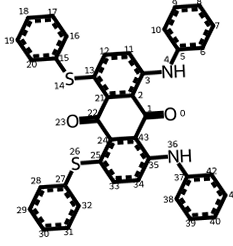 O=C1c2c(Nc3ccccc3)ccc(Sc3ccccc3)c2C(=O)c2c(Sc3ccccc3)ccc(Nc3ccccc3)c21